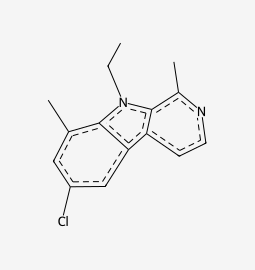 CCn1c2c(C)cc(Cl)cc2c2ccnc(C)c21